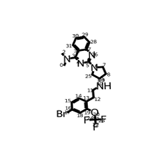 CN(C)c1nc(N2CC[C@H](NCCc3ccc(Br)cc3OC(F)(F)F)C2)nc2ccccc12